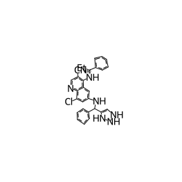 CC[C@@H](Nc1c(C#N)cnc2c(Cl)cc(NC(C3=CNNN3)c3ccccc3)cc12)c1ccccc1